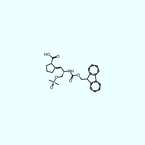 CP(C)(=O)OC[C@@H](/C=C1\CCC[C@H]1C(=O)O)NC(=O)OCC1c2ccccc2-c2ccccc21